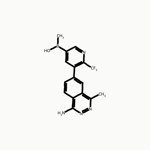 CB(O)c1cnc(C(F)(F)F)c(-c2ccc3c(N)nnc(C)c3c2)c1